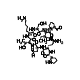 CC[C@H](C)[C@H](NC(=O)[C@H](CO)NC(=O)[C@H](CCCCN)NC(=O)[C@@H](NC(=O)[C@H](CS)NC(=O)[C@H](CCC(N)=O)NC(=O)[C@@H]1CCCN1)[C@@H](C)O)C(=O)N1CCC[C@H]1[C]=O